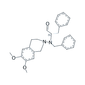 COc1cc2c(cc1OC)CN(N(Cc1ccccc1)[C@H](C=O)Cc1ccccc1)CC2